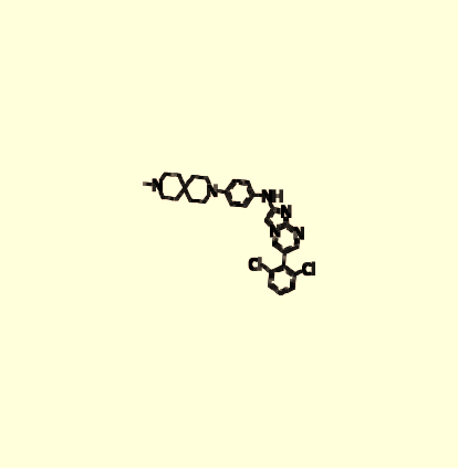 CN1CCC2(CC1)CCN(c1ccc(Nc3cn4cc(-c5c(Cl)cccc5Cl)cnc4n3)cc1)CC2